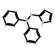 c1ccc([S+](Oc2cccs2)c2ccccc2)cc1